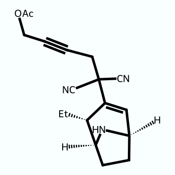 CC[C@@H]1C(C(C#N)(C#N)CC#CCOC(C)=O)=C[C@H]2CC[C@@H]1N2